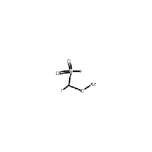 CC(=O)OC(F)S(=O)(=O)F